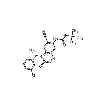 C[C@@H](c1cccc(Cl)c1)n1c(=O)cnc2cc(NC(=O)NC(C)(C)C)c(C#N)cc21